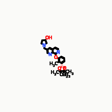 Cc1c(Oc2nccc3cc(CN4CC[C@H](O)C4)cnc23)cccc1B1OC(C)(C)C(C)(C)O1